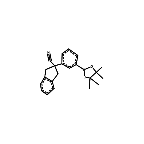 CC1(C)OB(c2cccc(C3(C#N)Cc4ccccc4C3)c2)OC1(C)C